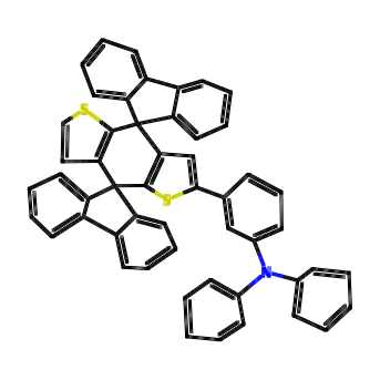 c1ccc(N(c2ccccc2)c2cccc(-c3cc4c(s3)C3(c5ccccc5-c5ccccc53)c3ccsc3C43c4ccccc4-c4ccccc43)c2)cc1